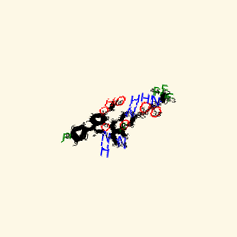 O=C(C[C@@H](c1ccc(F)cc1)c1ccc(OCCO)cc1)Nc1cncc(F)c1CC[C@@H]1CN[C@H](COC(=O)NCC(F)(F)F)CO1